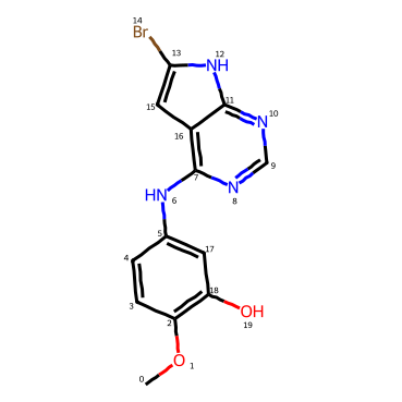 COc1ccc(Nc2ncnc3[nH]c(Br)cc23)cc1O